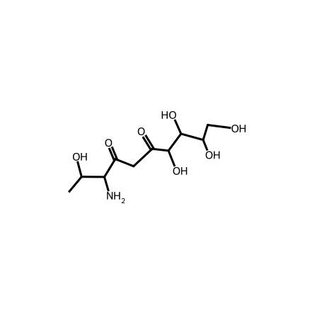 CC(O)C(N)C(=O)CC(=O)C(O)C(O)C(O)CO